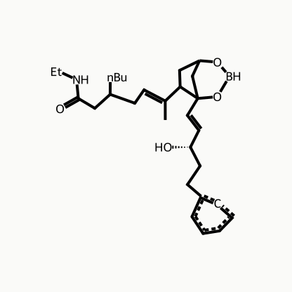 CCCCC(CC=C(C)C1CC2CC1(/C=C/[C@@H](O)CCc1ccccc1)OBO2)CC(=O)NCC